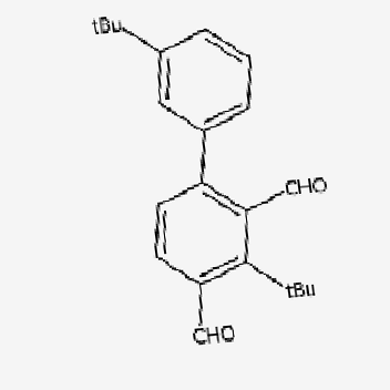 CC(C)(C)c1cccc(-c2ccc(C=O)c(C(C)(C)C)c2C=O)c1